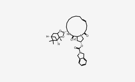 CC1(C)[C@H]2CC3OB([C@@H]4CCCCCC/C=C/CCC(=O)N5C[C@H](OC(=O)N6Cc7ccccc7C6)C[C@H]5C(=O)N4)O[C@]3(C)[C@@H]1C2